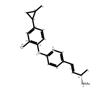 CC(=O)N[C@@H](C)/C=C/c1ccc(Oc2ccc(C3CC3C)cc2Cl)nc1